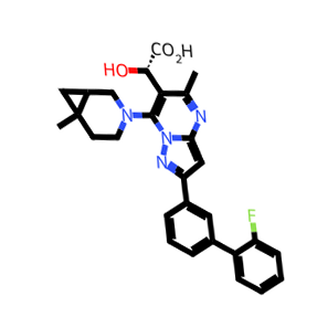 Cc1nc2cc(-c3cccc(-c4ccccc4F)c3)nn2c(N2CCC3(C)CC3C2)c1[C@H](O)C(=O)O